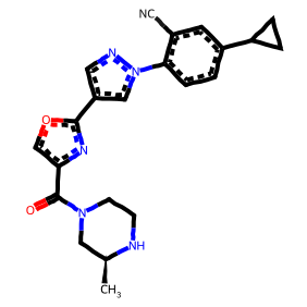 C[C@H]1CN(C(=O)c2coc(-c3cnn(-c4ccc(C5CC5)cc4C#N)c3)n2)CCN1